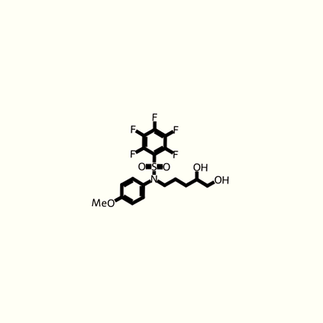 COc1ccc(N(CCCC(O)CO)S(=O)(=O)c2c(F)c(F)c(F)c(F)c2F)cc1